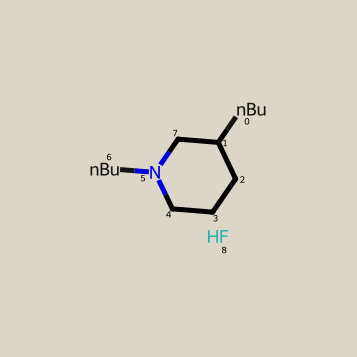 CCCCC1CCCN(CCCC)C1.F